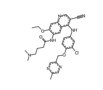 CCOc1cc2ncc(C#N)c(Nc3ccc(OCc4cnc(C)cn4)c(Cl)c3)c2cc1NC(=O)CCCN(C)C